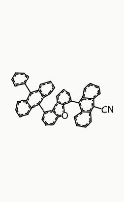 N#Cc1c2ccccc2c(-c2cccc3c2oc2cccc(-c4c5ccccc5c(-c5ccccc5)c5ccccc45)c23)c2ccccc12